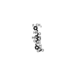 Cc1cc(CNC(=O)c2c[nH]c3c(C(=O)NCc4ccc5c(c4)NC(=O)CO5)ncnc23)ccc1F